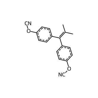 CC(C)=C(c1ccc(OC#N)cc1)c1ccc(OC#N)cc1